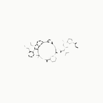 C=CC(=O)N1CC[C@@H](N(C)CN(C)[C@H](C(=O)N[C@H]2Cc3nc(cs3)-c3ccc4c(c3)c(c(-c3cccnc3[C@H](C)OC)n4CC)CC(C)(C)COC(=O)[C@@H]3CCCN(N3)C2=O)C(C)C)C1